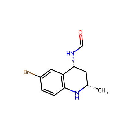 C[C@H]1C[C@@H](NC=O)c2cc(Br)ccc2N1